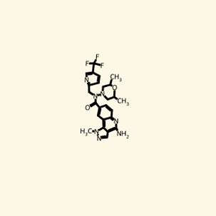 CC1CN(N(Cc2ccc(C(F)(F)F)cn2)C(=O)c2ccc3nc(N)c4cnn(C)c4c3c2)CC(C)O1